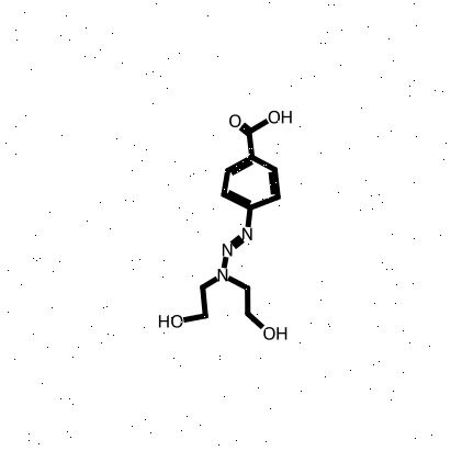 O=C(O)c1ccc(N=NN(CCO)CCO)cc1